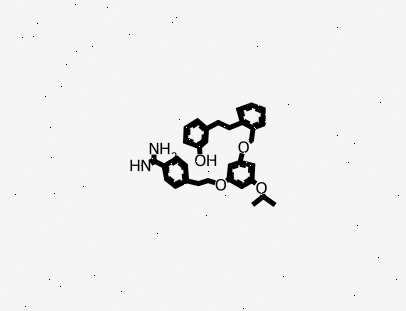 CC(C)Oc1cc(OCCc2ccc(C(=N)N)cc2)cc(OCc2ccccc2CCc2cccc(O)c2)c1